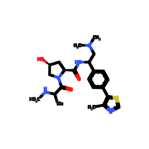 Cc1ncsc1-c1ccc(C(CN(C)C)NC(=O)[C@@H]2C[C@@H](O)CN2C(=O)C(NC(=O)O)C(C)(C)C)cc1